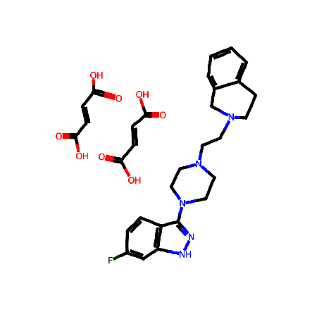 Fc1ccc2c(N3CCN(CCN4CCc5ccccc5C4)CC3)n[nH]c2c1.O=C(O)C=CC(=O)O.O=C(O)C=CC(=O)O